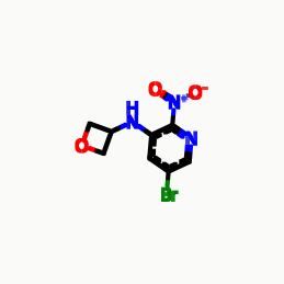 O=[N+]([O-])c1ncc(Br)cc1NC1COC1